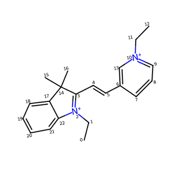 CC[N+]1=C(C=Cc2ccc[n+](CC)c2)C(C)(C)c2ccccc21